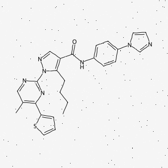 CCCCc1c(C(=O)Nc2ccc(-n3ccnc3)cc2)cnn1-c1ncc(C)c(-c2cccs2)n1